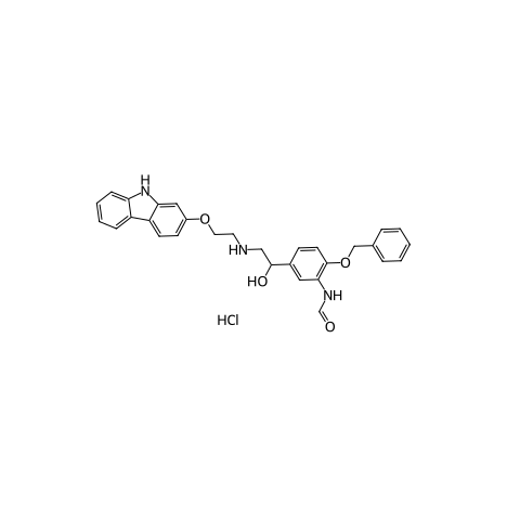 Cl.O=CNc1cc(C(O)CNCCOc2ccc3c(c2)[nH]c2ccccc23)ccc1OCc1ccccc1